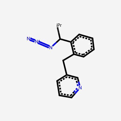 CC(C)C(N=[N+]=[N-])c1ccccc1Cc1cccnc1